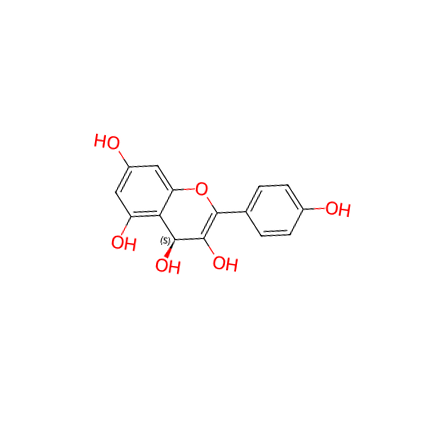 OC1=C(c2ccc(O)cc2)Oc2cc(O)cc(O)c2[C@@H]1O